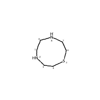 C1CNCCSCCN1